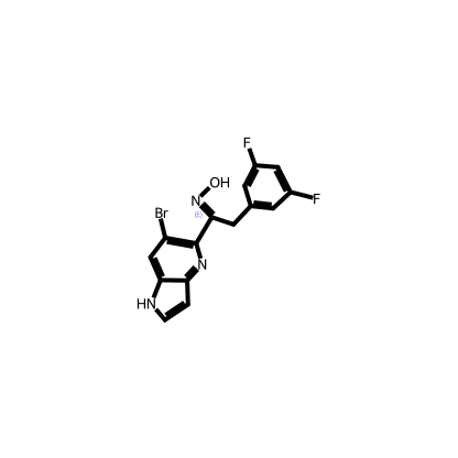 O/N=C(\Cc1cc(F)cc(F)c1)c1nc2cc[nH]c2cc1Br